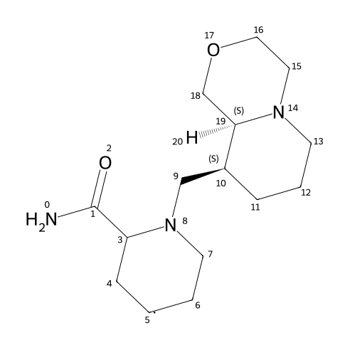 NC(=O)C1C[CH]CCN1C[C@@H]1CCCN2CCOC[C@H]12